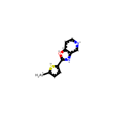 [AsH2]c1ccc(-c2nc3cnccc3o2)s1